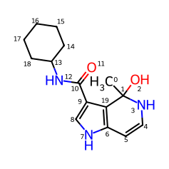 CC1(O)NC=Cc2[nH]cc(C(=O)NC3CCCCC3)c21